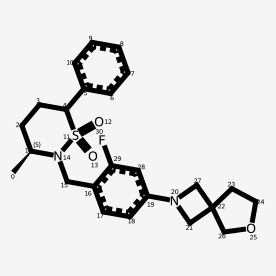 C[C@H]1CCC(c2ccccc2)S(=O)(=O)N1Cc1ccc(N2CC3(CCOC3)C2)cc1F